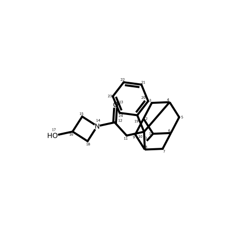 CC1C2CC3CC1CC(C2)C3(CC(=O)N1CC(O)C1)c1ccccc1